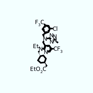 CCOC(=O)C[C@H]1CC[C@H](CN(CC)c2ncc(C(F)(F)F)cc2CN(Cc2cc(Cl)cc(C(F)(F)F)c2)c2nnn(C)n2)CC1